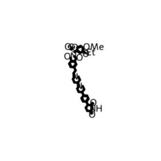 CCOc1cc([C@@H](CS(C)(=O)=O)N2C(=O)c3ccc(CCN4CCC(N5CCC(c6ccc(C7CCC(=O)NC7=O)cc6)CC5)CC4)cc3C2=O)ccc1OC